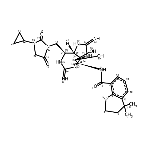 CC1(C)CCOc2c(C(=O)N[C@H]3CN4C(=N)N[C@@H](CN5C(=O)CN(C6CC6)C5=O)[C@@H]5NC(=N)N[C@@]54C3(O)O)cccc21